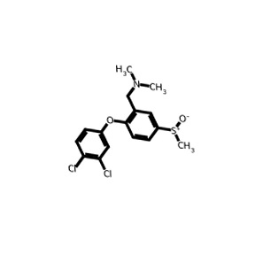 CN(C)Cc1cc([S+](C)[O-])ccc1Oc1ccc(Cl)c(Cl)c1